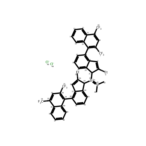 CCC1=Cc2c(-c3c(C(F)(F)F)cc(C(F)(F)F)c4ccccc34)cccc2[CH]1[Zr+2]([CH]1C(CC)=Cc2c(-c3c(C(F)(F)F)cc(C(F)(F)F)c4ccccc34)cccc21)=[Si](C)C.[Cl-].[Cl-]